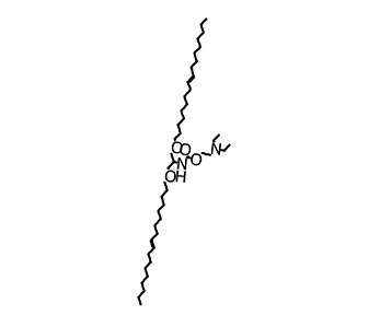 CCCCCCCCC=CCCCCCCCCOCC(COCCCCCCCCC=CCCCCCCCC)NC(=O)OCCN(CC)CC